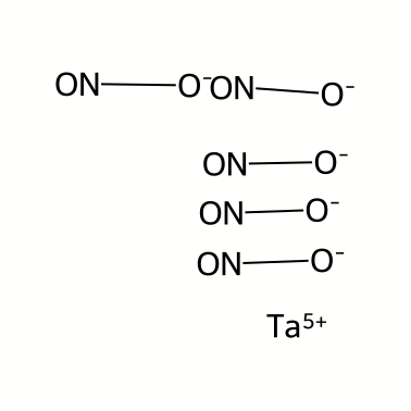 O=N[O-].O=N[O-].O=N[O-].O=N[O-].O=N[O-].[Ta+5]